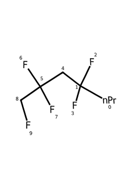 [CH2]CCC(F)(F)CC(F)(F)CF